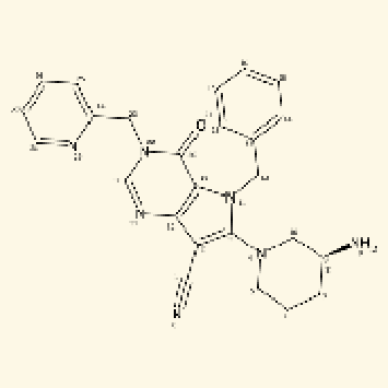 N#Cc1c(N2CCC[C@H](N)C2)n(Cc2ccccc2)c2c(=O)n(Cc3ccccn3)cnc12